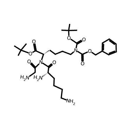 CC(C)(C)OC(=O)[C@H](CCCCN(C(=O)OCc1ccccc1)C(=O)OC(C)(C)C)N(C(=O)CN)C(=O)[C@@H](N)CCCCN